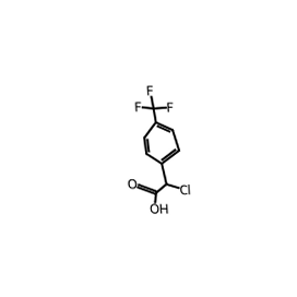 O=C(O)C(Cl)c1ccc(C(F)(F)F)cc1